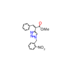 COC(=O)C(=Cc1ccccc1)c1cn(Cc2ccccc2[N+](=O)[O-])nn1